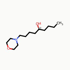 CCCC[C@H](O)CCCCN1CCOCC1